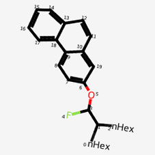 CCCCCCC(CCCCCC)C(F)Oc1ccc2c(ccc3ccccc32)c1